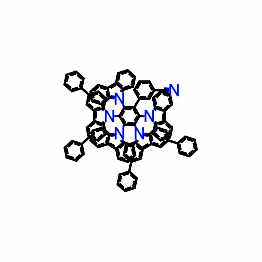 N#Cc1cccc(-c2c(-n3c4ccccc4c4ccccc43)c(-n3c4ccc(-c5ccccc5)cc4c4cc(-c5ccccc5)ccc43)c(-n3c4ccccc4c4ccccc43)c(-n3c4ccc(-c5ccccc5)cc4c4cc(-c5ccccc5)ccc43)c2-n2c3ccccc3c3ccccc32)c1